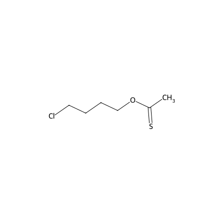 CC(=S)OCCCCCl